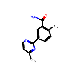 Cc1ccnc(-c2ccc(C)c(C(N)=O)c2)n1